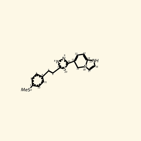 CSc1ccc(CCc2nnc(C3=CC=C4NC=CN4C3)s2)cc1